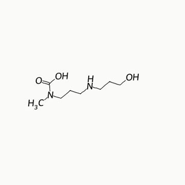 CN(CCCNCCCO)C(=O)O